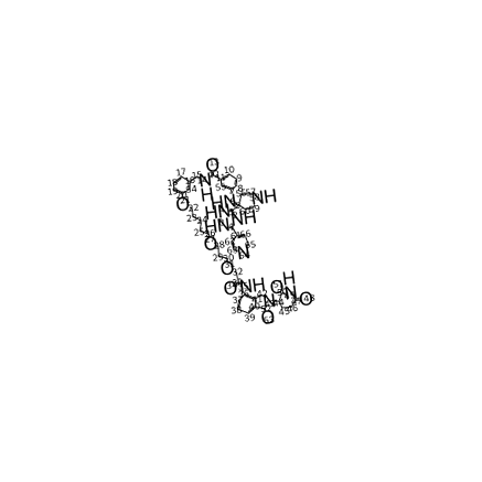 N=C(NC(=N)C1(Nc2cccc(C(=O)NCc3cccc(OCCCCCOCCCOCC(=O)Nc4cccc5c4CN(C4CCC(=O)NC4=O)C5=O)c3)c2)CCNCC1)c1ccncc1